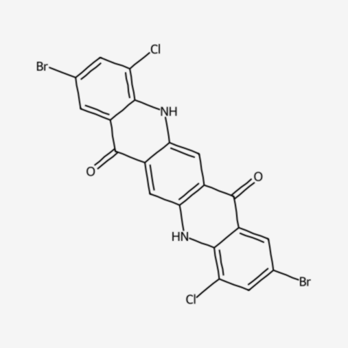 O=c1c2cc3[nH]c4c(Cl)cc(Br)cc4c(=O)c3cc2[nH]c2c(Cl)cc(Br)cc12